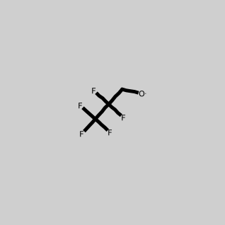 [O]CC(F)(F)C(F)(F)F